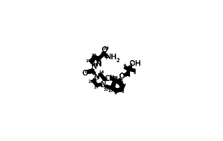 CC(C)(O)COc1cccc(CN2CCN(C(=O)n3ccc(C(N)=O)n3)CC2)c1Cl